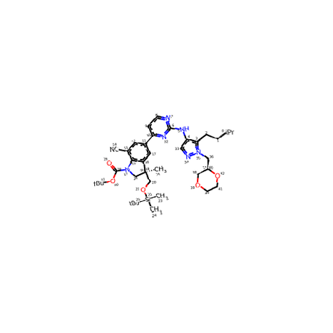 CC(C)CCc1c(Nc2nccc(-c3cc(C#N)c4c(c3)[C@@](C)(CO[Si](C)(C)C(C)(C)C)CN4C(=O)OC(C)(C)C)n2)cnn1C[C@@H]1COCCO1